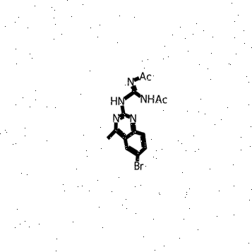 CC(=O)/N=C(\NC(C)=O)Nc1nc(C)c2cc(Br)ccc2n1